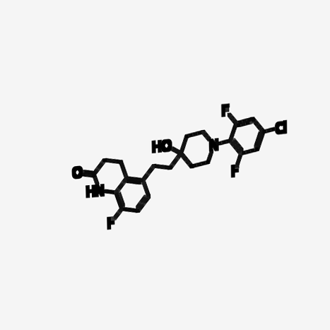 O=C1CCc2c(CCC3(O)CCN(c4c(F)cc(Cl)cc4F)CC3)ccc(F)c2N1